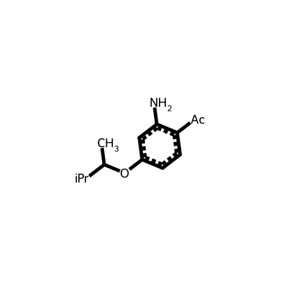 CC(=O)c1ccc(OC(C)C(C)C)cc1N